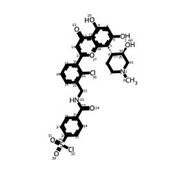 CN1CC[C@H](c2c(O)cc(O)c3c(=O)cc(-c4cccc(CNC(=O)c5ccc(S(=O)(=O)Cl)cc5)c4Cl)oc23)[C@@H](O)C1